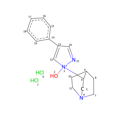 Cl.Cl.O[N+]1(C2CN3CCC2CC3)C=C(c2ccccc2)C=N1